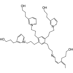 C\C=C(/C=C\C=N\CCCc1cc(CCC[n+]2cccc(CCCO)c2)c(CCC[n+]2cccc(CCCO)c2)cc1CCC[n+]1cccc(CCCO)c1)CCCO